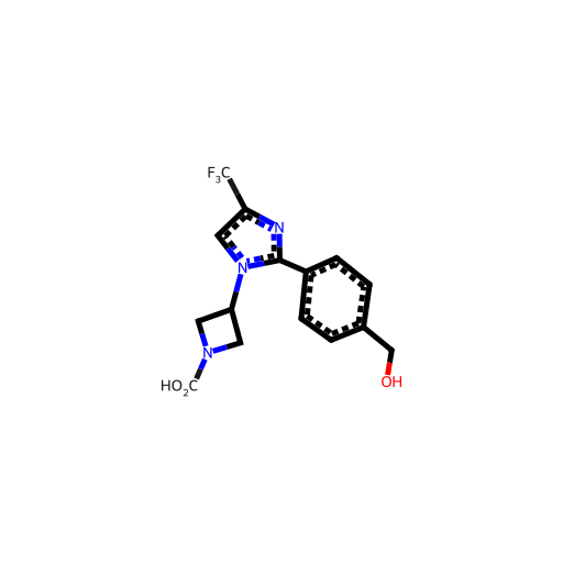 O=C(O)N1CC(n2cc(C(F)(F)F)nc2-c2ccc(CO)cc2)C1